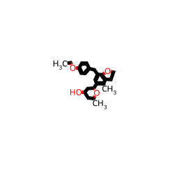 CCOc1ccc(Cc2cc(C3CC(O)CC(C)O3)c(C)c3c2OCC3)cc1